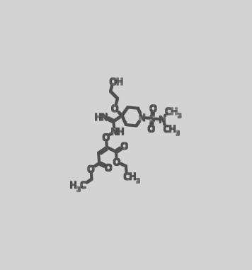 CCOC(=O)C=C(ONC(=N)C1(OCCO)CCN(S(=O)(=O)N(C)C)CC1)C(=O)OCC